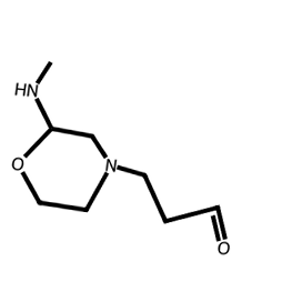 CNC1CN(CCC=O)CCO1